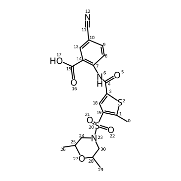 Cc1sc(C(=O)Nc2ccc(C#N)cc2C(=O)O)cc1S(=O)(=O)N1CC(C)OC(C)C1